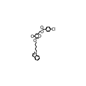 O=C(OCc1cc(=O)c(OCCCCCn2ccc3ccccc32)co1)c1ccc(Cl)cc1